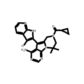 CC1(C)CN(C(=O)C2CC2)Cc2c(-c3[nH]c4ncccc4c3Cl)c3c(N)ncnc3n21